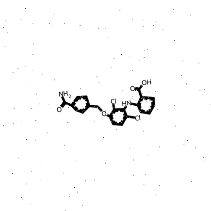 NC(=O)c1ccc(COc2ccc(Cl)c(Nc3ccccc3C(=O)O)c2Cl)cc1